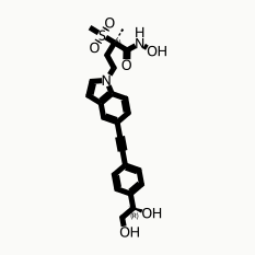 C[C@@](CCn1ccc2cc(C#Cc3ccc([C@@H](O)CO)cc3)ccc21)(C(=O)NO)S(C)(=O)=O